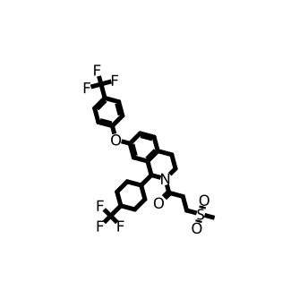 CS(=O)(=O)CCC(=O)N1CCc2ccc(Oc3ccc(C(F)(F)F)cc3)cc2C1C1CCC(C(F)(F)F)CC1